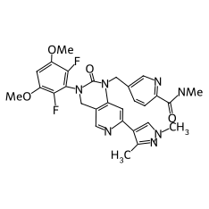 CNC(=O)c1ccc(CN2C(=O)N(c3c(F)c(OC)cc(OC)c3F)Cc3cnc(-c4cn(C)nc4C)cc32)cn1